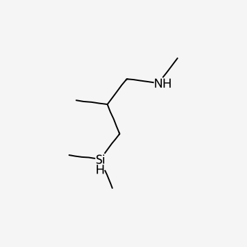 CNCC(C)C[SiH](C)C